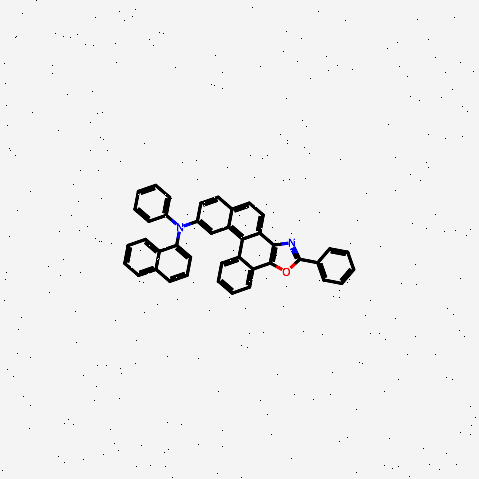 c1ccc(-c2nc3c4ccc5ccc(N(c6ccccc6)c6cccc7ccccc67)cc5c4c4ccccc4c3o2)cc1